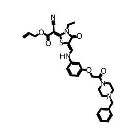 C=CCOC(=O)C(C#N)=c1sc(=CNc2cccc(OCC(=O)N3CCN(Cc4ccccc4)CC3)c2)c(=O)n1CC